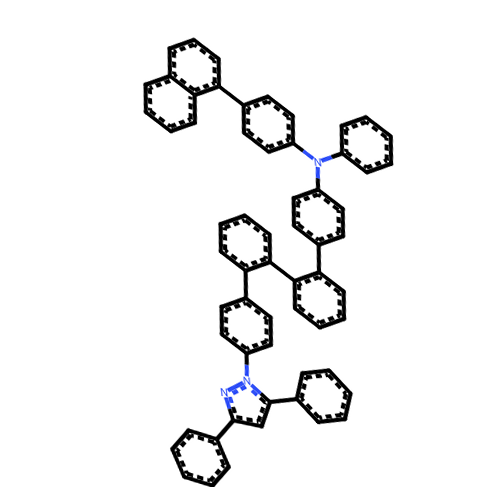 c1ccc(-c2cc(-c3ccccc3)n(-c3ccc(-c4ccccc4-c4ccccc4-c4ccc(N(c5ccccc5)c5ccc(-c6cccc7ccccc67)cc5)cc4)cc3)n2)cc1